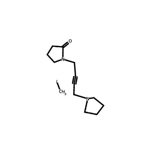 CI.O=C1CCCN1CC#CCN1CCCC1